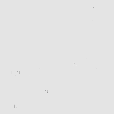 N#C/C(=N/OCc1csc(-c2ccc(Cl)cc2)n1)C(N)=O